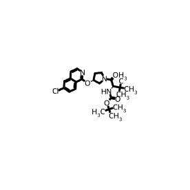 CC(C)(C)OC(=O)N[C@H](C(=O)N1CC[C@@H](Oc2nccc3cc(Cl)ccc23)C1)C(C)(C)C